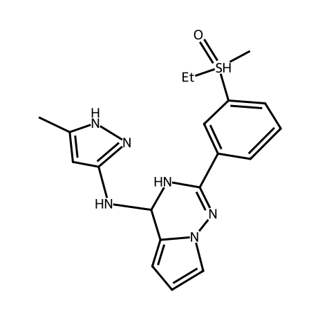 CC[SH](C)(=O)c1cccc(C2=Nn3cccc3C(Nc3cc(C)[nH]n3)N2)c1